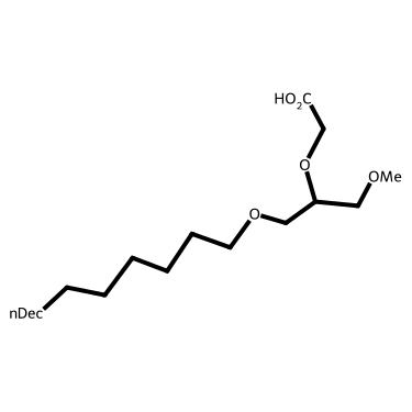 CCCCCCCCCCCCCCCCOCC(COC)OCC(=O)O